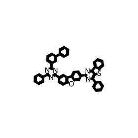 c1ccc(-c2cccc(-c3nc(-c4ccccc4)nc(-c4ccc5oc6cc(-c7nc(-c8ccccc8)c8sc9ccccc9c8n7)ccc6c5c4)n3)c2)cc1